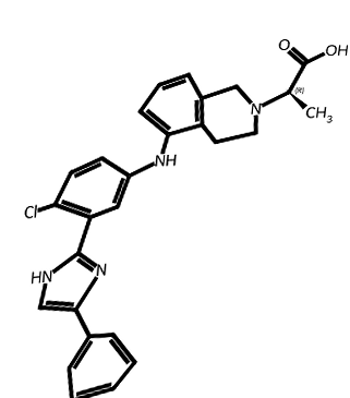 C[C@H](C(=O)O)N1CCc2c(cccc2Nc2ccc(Cl)c(-c3nc(-c4ccccc4)c[nH]3)c2)C1